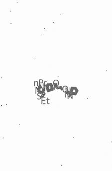 CCCC1CN(C(=O)CCCOn2nnc3ccccc32)CCN1c1ncnc2sc(CC)cc12